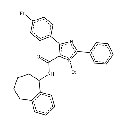 CCc1ccc(-c2nc(-c3ccccc3)n(CC)c2C(=O)NC2CCCCc3ccccc32)cc1